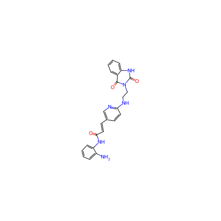 Nc1ccccc1NC(=O)/C=C/c1ccc(NCCn2c(=O)[nH]c3ccccc3c2=O)nc1